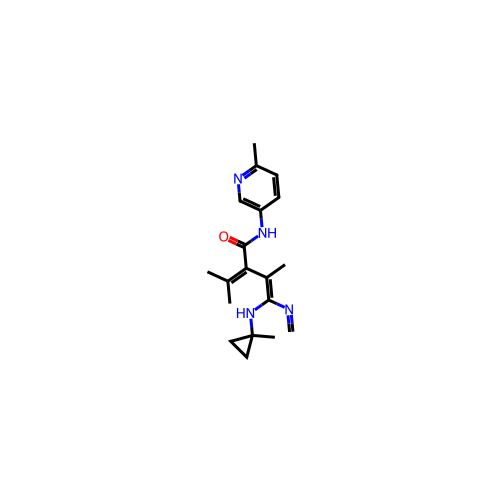 C=N/C(NC1(C)CC1)=C(\C)C(C(=O)Nc1ccc(C)nc1)=C(C)C